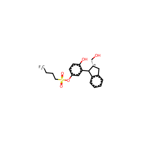 O=S(=O)(CCCC(F)(F)F)Oc1ccc(O)c(C2c3ccccc3C[C@H]2CO)c1